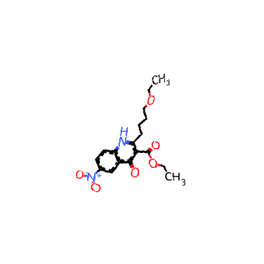 CCOCCCCc1[nH]c2ccc([N+](=O)[O-])cc2c(=O)c1C(=O)OCC